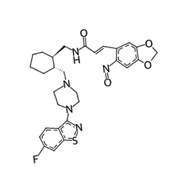 O=Nc1cc2c(cc1/C=C/C(=O)NC[C@@H]1CCCC[C@H]1CN1CCN(c3nsc4cc(F)ccc34)CC1)OCO2